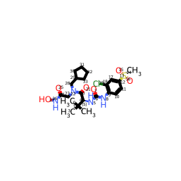 CC(C)(C)[C@H](NC(=O)Nc1ccc(S(C)(=O)=O)cc1Cl)C(=O)N(CC(=O)NO)CC1CCCC1